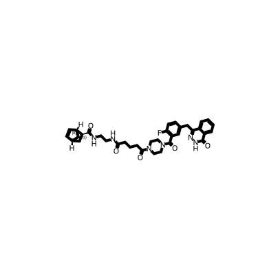 O=C(CCCC(=O)N1CCN(C(=O)c2cc(Cc3n[nH]c(=O)c4ccccc34)ccc2F)CC1)NCCNC(=O)[C@H]1C[C@@H]2C=C[C@H]1C2